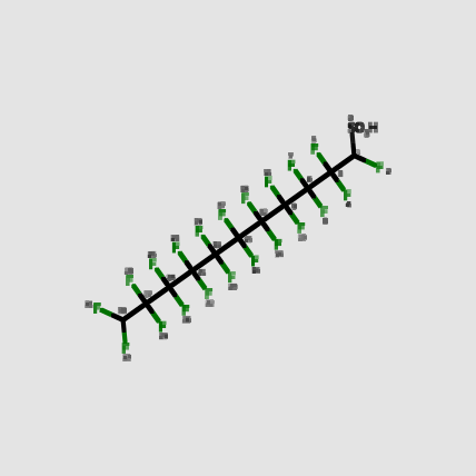 O=S(=O)(O)C(F)C(F)(F)C(F)(F)C(F)(F)C(F)(F)C(F)(F)C(F)(F)C(F)(F)C(F)(F)C(F)(F)C(F)F